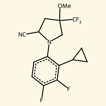 COC1(C(F)(F)F)CC(C#N)N(c2ccc(F)c(F)c2C2CC2)C1